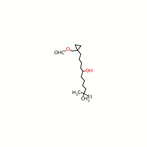 CCC(C)(C)CCCCC(O)CCCCC1(COC=O)CC1